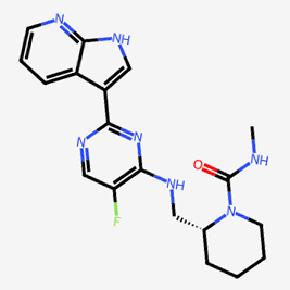 CNC(=O)N1CCCC[C@@H]1CNc1nc(-c2c[nH]c3ncccc23)ncc1F